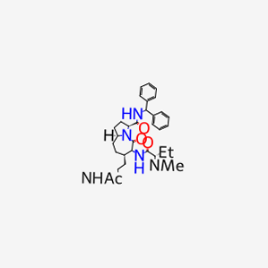 CC[C@H](NC)C(=O)N[C@@H]1C(=O)N2[C@@H](CC[C@@H]1CCNC(C)=O)CC[C@H]2C(=O)NC(c1ccccc1)c1ccccc1